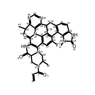 C=CC(=O)N1CC2C(=O)Nc3c(c4cc(F)c(-c5c(C)ccc6[nH]c(=O)n(C)c56)c(F)c4n(-c4c(C(C)C)ncnc4C(C)C)c3=O)N2CC1C